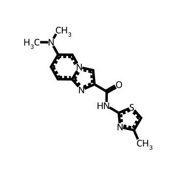 Cc1csc(NC(=O)c2cn3cc(N(C)C)ccc3n2)n1